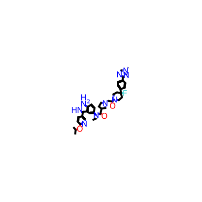 CCN(C(=O)C1CCN(CC(=O)N2CCC(F)(c3ccc(-c4ncn(C)n4)cc3)CC2)C1)c1ccc(N)c(C(=N)c2ccc(OC(C)C)nc2)c1